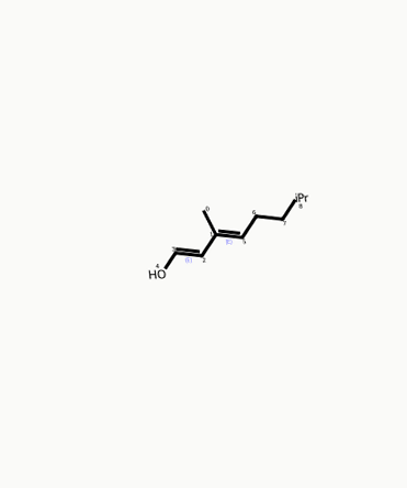 CC(/C=C/O)=C\CCC(C)C